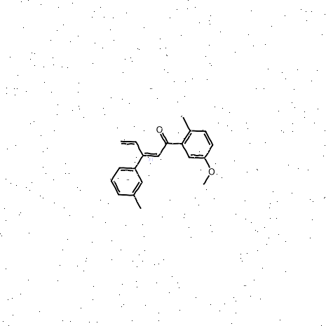 C=C/C(=C\C(=O)c1cc(OC)ccc1C)c1cccc(C)c1